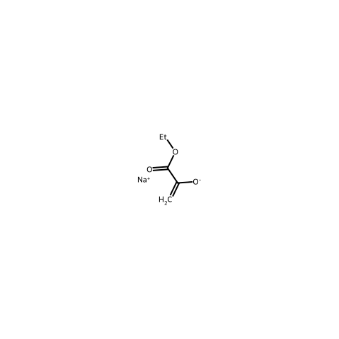 C=C([O-])C(=O)OCC.[Na+]